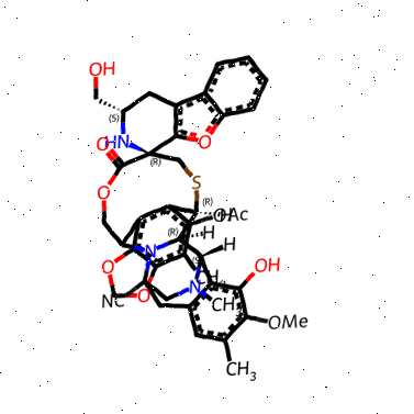 COc1c(C)cc2c(c1O)[C@H]1[C@@H]3[C@@H]4SC[C@]5(N[C@H](CO)Cc6c5oc5ccccc65)C(=O)OCC(c5c6c(c(C)c(OC(C)=O)c54)OCO6)N3C(C#N)(C2)CN1C